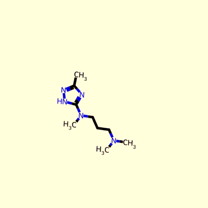 Cc1n[nH]c(N(C)CCCN(C)C)n1